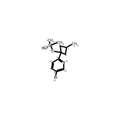 CC1CC(O[Si](C)(C)C(C)(C)C)(c2ccc(Br)cn2)C1